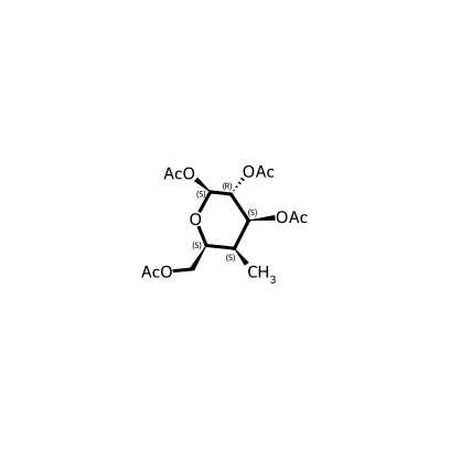 CC(=O)OC[C@H]1O[C@@H](OC(C)=O)[C@H](OC(C)=O)[C@@H](OC(C)=O)[C@H]1C